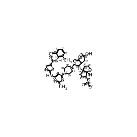 Cc1nc(Nc2ncc(C(=O)Nc3c(C)cccc3Cl)s2)cc(N2CCN(CCC(CC(=O)O)(C(=O)O)[C@@H]3CO[C@H]4[C@@H]3OC[C@@H]4O[N+](=O)[O-])CC2)n1